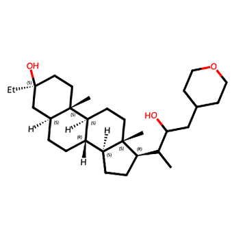 CC[C@]1(O)CC[C@@]2(C)[C@@H](CC[C@@H]3[C@@H]2CC[C@]2(C)[C@@H](C(C)C(O)CC4CCOCC4)CC[C@@H]32)C1